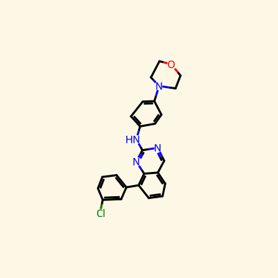 Clc1cccc(-c2cccc3cnc(Nc4ccc(N5CCOCC5)cc4)nc23)c1